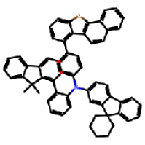 CC1(C)c2ccccc2-c2cccc(-c3ccccc3N(c3ccc(-c4cccc5sc6c7ccccc7ccc6c45)cc3)c3ccc4c(c3)C3(CCCCC3)c3ccccc3-4)c21